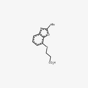 CCCCc1nc2cccc(SCCC(=O)O)c2o1